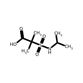 CC(C)NS(=O)(=O)C(C)(C)C(=O)O